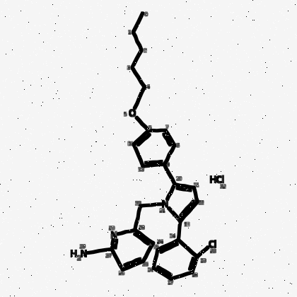 CCCCCOc1ccc(-c2ccc(-c3ccccc3Cl)n2Cc2cccc(N)n2)cc1.Cl